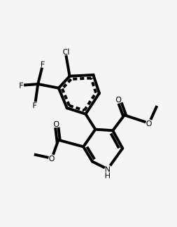 COC(=O)C1=CNC=C(C(=O)OC)C1c1ccc(Cl)c(C(F)(F)F)c1